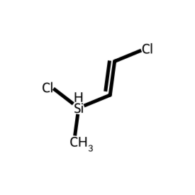 C[SiH](Cl)C=CCl